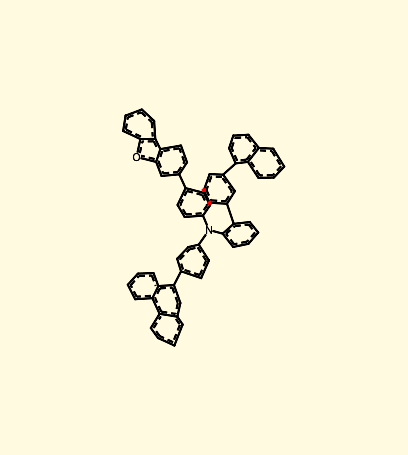 c1cc(-c2ccccc2N(c2ccc(-c3ccc4c(c3)oc3ccccc34)cc2)c2ccc(-c3cc4ccccc4c4ccccc34)cc2)cc(-c2cccc3ccccc23)c1